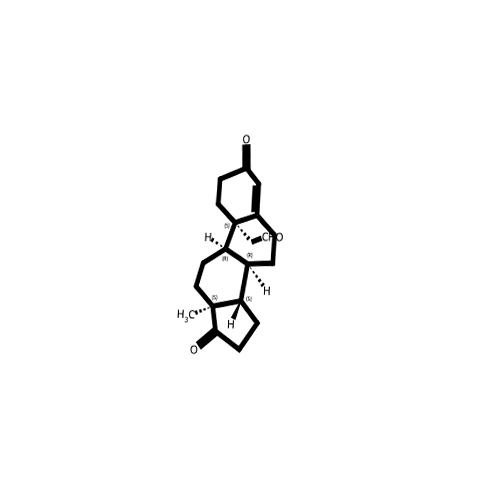 C[C@]12CC[C@@H]3[C@@H](CCC4=CC(=O)CC[C@@]43CC=O)[C@@H]1CCC2=O